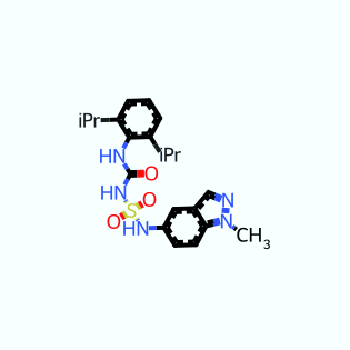 CC(C)c1cccc(C(C)C)c1NC(=O)NS(=O)(=O)Nc1ccc2c(cnn2C)c1